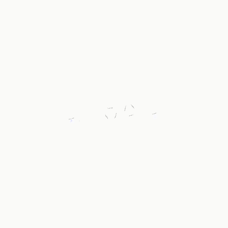 C/C=C/COCc1ccc(-c2ccc([C@H]3CC[C@H](C/C=C/C)CC3)cc2)cc1